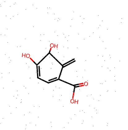 C=C1C(C(=O)O)=CC=C(O)C1O